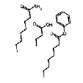 CCCC(=O)O.CCCCCCCC(=O)Oc1ccccc1.CCCCCCCC(N)=O